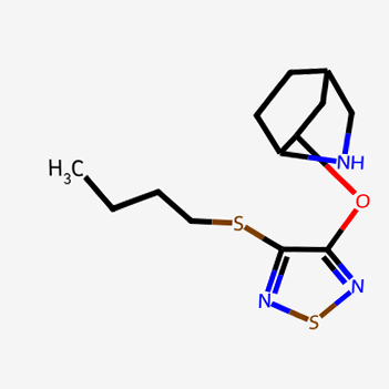 CCCCSc1nsnc1OC1CC2CCC1NC2